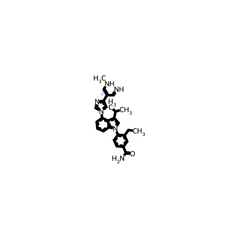 CCc1cc(C(N)=O)ccc1-n1cc(C(C)C)c2c(-n3cnc(/C(C=N)=C/NC)c3)cccc21